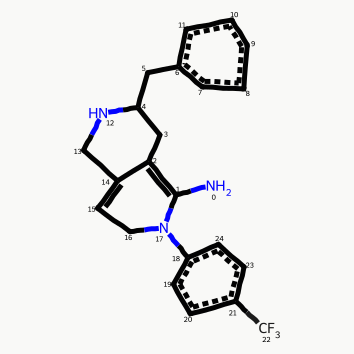 NC1=C2CC(Cc3ccccc3)NCC2=CCN1c1ccc(C(F)(F)F)cc1